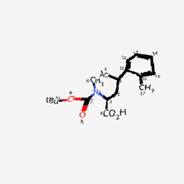 CC(=O)C(C[C@@H](C(=O)O)N(C)C(=O)OC(C)(C)C)c1ccccc1C